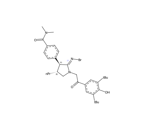 CCC[C@H]1CN(CC(=O)c2cc(C(C)(C)C)c(O)c(C(C)(C)C)c2)/C(=N\Br)[C@@H]1c1ccc(C(=O)N(C)C)cc1